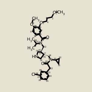 COCCCOc1cc(C(=O)N(C[C@@H]2CNC[C@H]2CN(C(=O)Cc2cccc(Cl)c2)C2CC2)C(C)C)ccc1OC